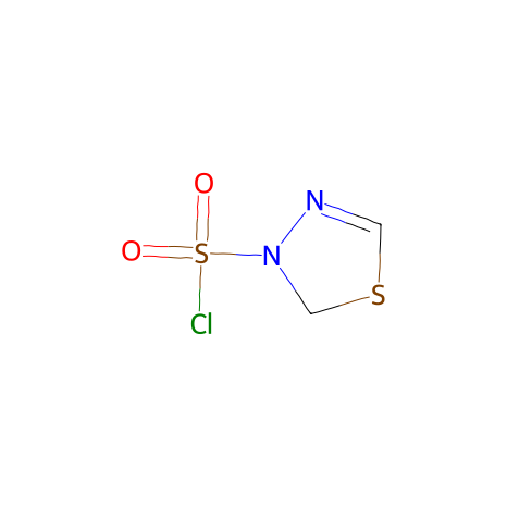 O=S(=O)(Cl)N1CSC=N1